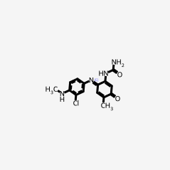 CNc1ccc(/N=C2\C=C(C)C(=O)C=C2NC(N)=O)cc1Cl